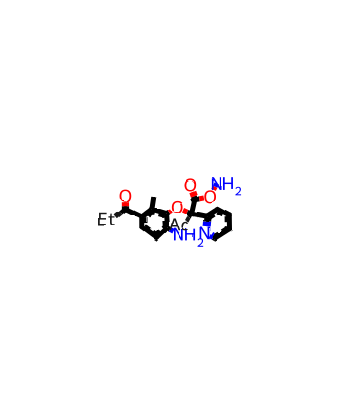 CCC(=O)c1ccc(N)c(OC(C(C)=O)(C(=O)ON)c2ccccn2)c1C